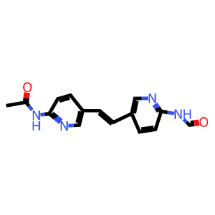 CC(=O)Nc1ccc(/C=C/c2ccc(NC=O)nc2)cn1